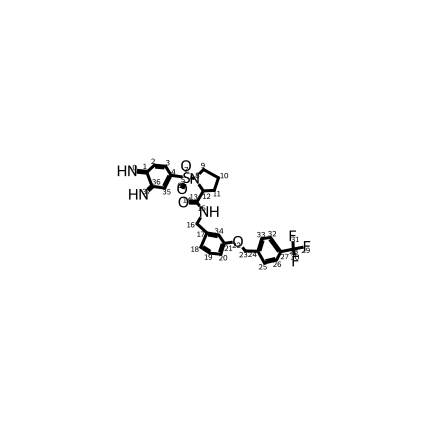 N=C1C=CC(S(=O)(=O)N2CCCC2C(=O)NCc2cccc(OCc3ccc(C(F)(F)F)cc3)c2)=CC1=N